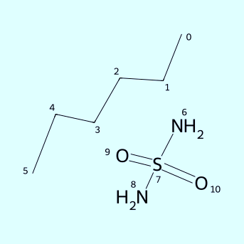 CCCCCC.NS(N)(=O)=O